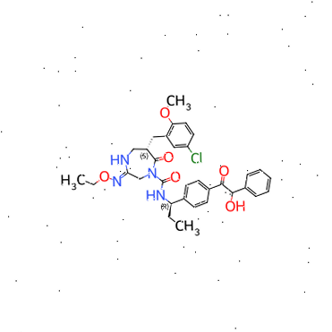 CCON=C1CN(C(=O)N[C@H](CC)c2ccc(C(=O)C(O)c3ccccc3)cc2)C(=O)[C@@H](Cc2cc(Cl)ccc2OC)CN1